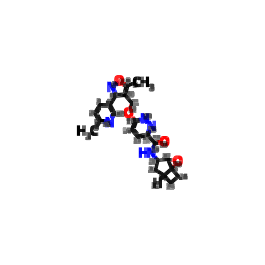 Cc1ccc(-c2noc(C)c2COc2ccc(C(=O)NC3C[C@H]4CCC45OC35)nn2)cn1